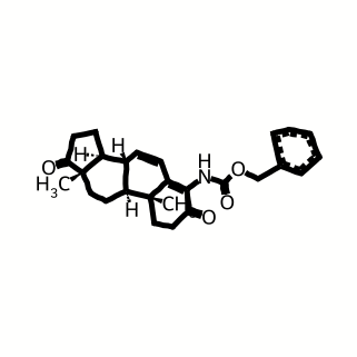 C[C@]12CCC(=O)C(NC(=O)OCc3ccccc3)=C1C=C[C@@H]1[C@@H]2CC[C@]2(C)C(=O)CC[C@@H]12